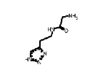 NCC(=O)NCCc1c[nH]nn1